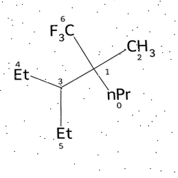 CCCC(C)(C(CC)CC)C(F)(F)F